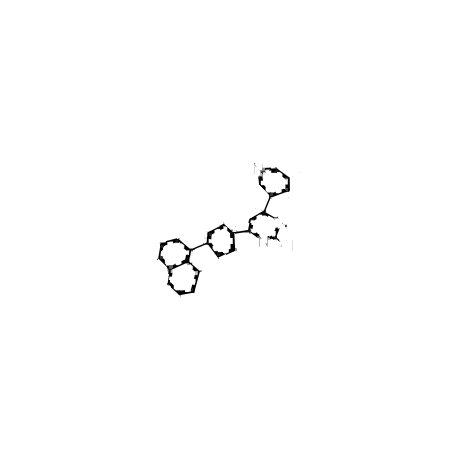 Clc1nc(-c2ccc(-c3cccc4ccccc34)cc2)cc(-c2cccnc2)n1